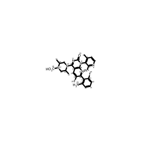 Cc1ccnc(C(C)C)c1-n1c(=O)nc(N2CC(C)N(C(=O)O)CC2C)c2cc(F)c(-c3c(N)cccc3F)nc21